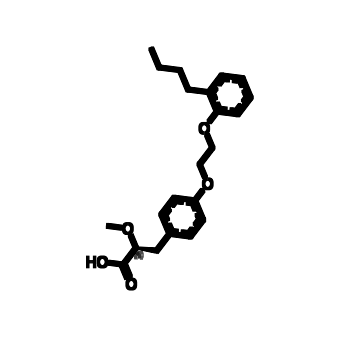 CCCCc1ccccc1OCCOc1ccc(C[C@H](OC)C(=O)O)cc1